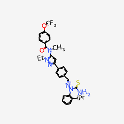 CCn1nc(-c2ccc(/C=N/N(C(N)=S)c3ccccc3C(C)C)cc2)cc1N(C)C(=O)c1ccc(OC(F)(F)F)cc1